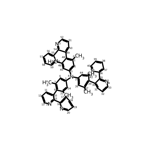 Cc1cc(N(c2cc(C)c(-c3cccnc3-c3ccccn3)c(C)c2)c2cc(C)c(-c3cccnc3-c3ccccn3)c(C)c2)cc(C)c1-c1cccnc1-c1ccccn1